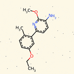 CCOc1ccc(C)c(-c2ccc(N)c(OC)n2)c1